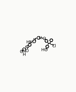 O=C1CCC(N2Cc3ccc(N[C@H]4CCCN(CC5CCN(CCOc6ccc(C(=C(CCCl)c7ccccc7)c7ccc(O)cc7)cc6)CC5)C4)cc3C2)C(=O)N1